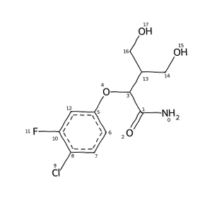 NC(=O)C(Oc1ccc(Cl)c(F)c1)C(CO)CO